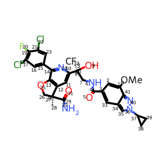 COc1cc(C(=O)NC[C@](O)(c2cc3c(c(-c4cc(Cl)c(F)c(Cl)c4)n2)OC[C@]3(C)C(N)=O)C(F)(F)F)cc2cn(C3CC3)nc12